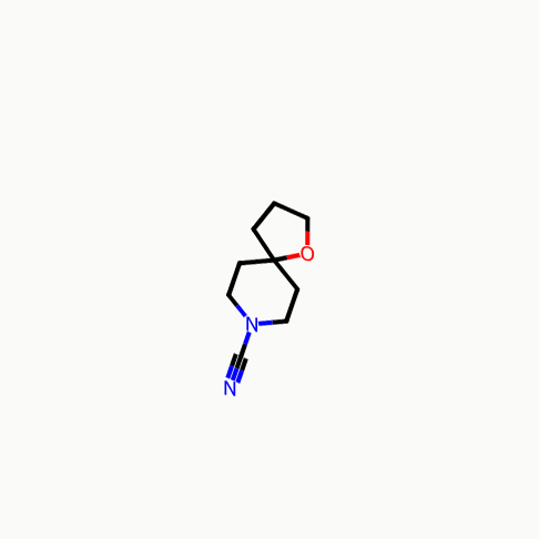 N#CN1CCC2(CCCO2)CC1